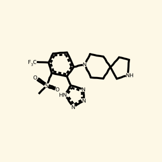 CS(=O)(=O)c1c(C(F)(F)F)ccc(N2CCC3(CCNC3)CC2)c1-c1nnn[nH]1